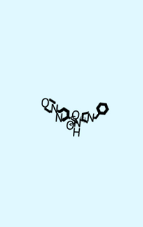 O=S(=O)(N[C@H]1CCN(Cc2ccccc2)C1)c1ccc(N2CCOCC2)nc1